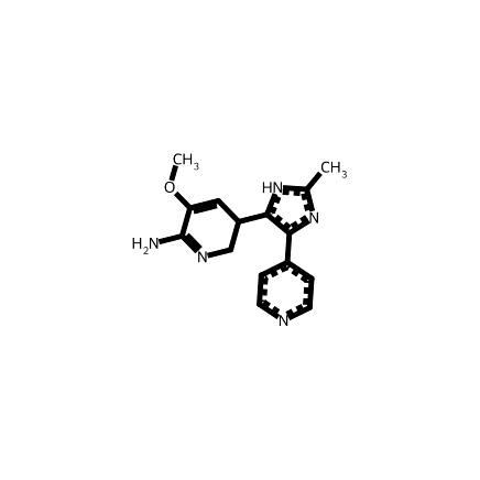 COC1=CC(c2[nH]c(C)nc2-c2ccncc2)CN=C1N